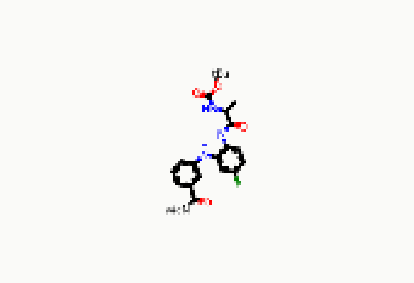 CNC(=O)c1cccc(Nc2cc(F)ccc2NC(=O)C(C)NC(=O)OC(C)(C)C)c1